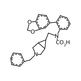 O=C(O)N(CC1C2CN(Cc3ccccc3)CC21)c1ccccc1-c1ccc2c(c1)OCO2